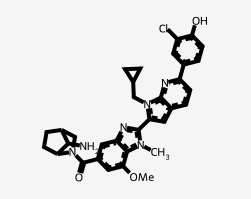 COc1cc(C(=O)N2CC3CCC2C3N)cc2nc(-c3cc4ccc(-c5ccc(O)c(Cl)c5)nc4n3CC3CC3)n(C)c12